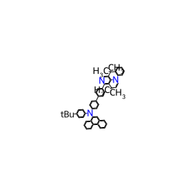 CC(C)(C)c1ccc(N(c2ccc(-c3ccc(-c4ncc5c6c4C(C)(C)C=CN6c4ccccc4C5(C)C)cc3)cc2)c2cc3ccccc3c3ccccc23)cc1